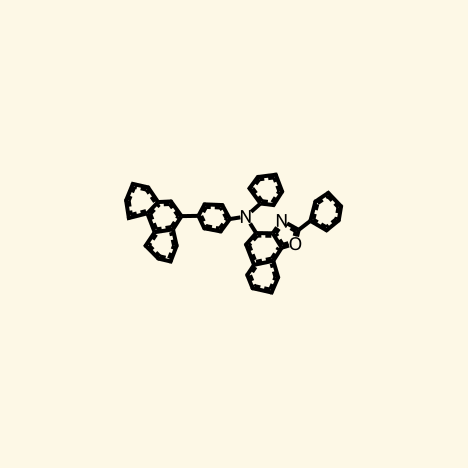 c1ccc(-c2nc3c(N(c4ccccc4)c4ccc(-c5cc6ccccc6c6ccccc56)cc4)cc4ccccc4c3o2)cc1